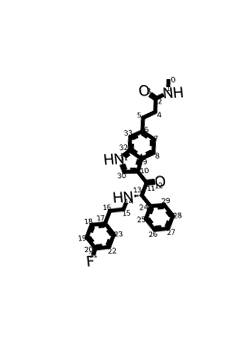 CNC(=O)CCc1ccc2c(C(=O)[C@@H](NCCc3ccc(F)cc3)c3ccccc3)c[nH]c2c1